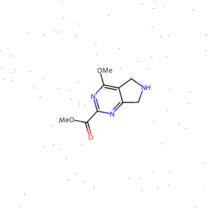 COC(=O)c1nc2c(c(OC)n1)CNC2